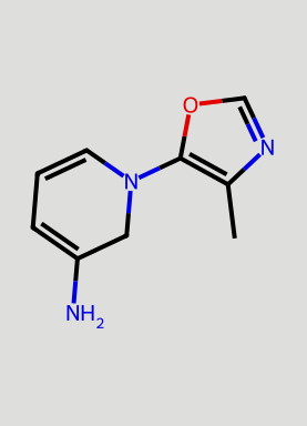 Cc1ncoc1N1C=CC=C(N)C1